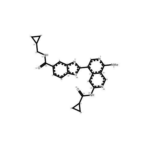 CNc1ncc(-c2nc3cc(C(=O)NCC4CC4)ccc3o2)c2cc(NC(=O)C3CC3)ncc12